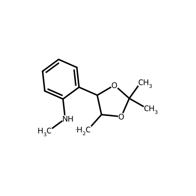 [CH2]C1OC(C)(C)OC1c1ccccc1NC